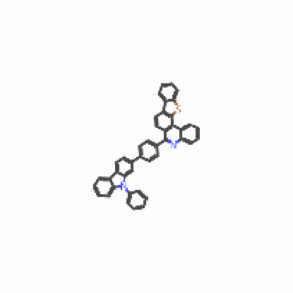 c1ccc(-n2c3ccccc3c3ccc(-c4ccc(-c5nc6ccccc6c6c5ccc5c7ccccc7sc56)cc4)cc32)cc1